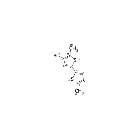 Cc1ccc(-c2cc(Br)c(C)s2)s1